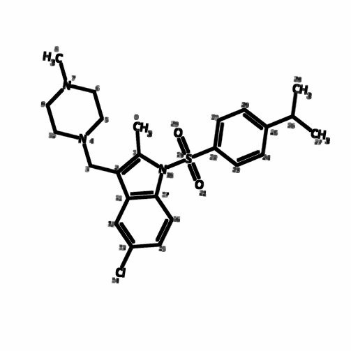 Cc1c(CN2CCN(C)CC2)c2cc(Cl)ccc2n1S(=O)(=O)c1ccc(C(C)C)cc1